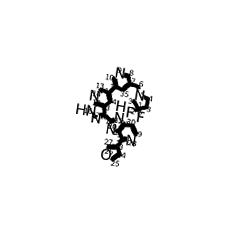 FC1(F)CCN(Cc2cncc(-c3cnc4[nH]nc(-c5nc6c(-c7ccoc7)nccc6[nH]5)c4c3)c2)C1